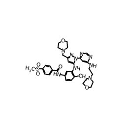 Cc1ccc(NC(=O)c2ccc(S(C)(=O)=O)cc2)cc1Nc1cc(CN2CCOCC2)nn1-c1cc(NCCN2CCOCC2)ncn1